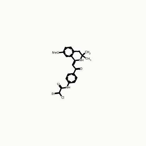 CCC(Cl)C(=O)Nc1ccc(C(=O)/C=C2\NC(C)(C)Cc3ccc(OC)cc32)cc1